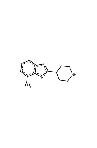 Cc1cccc2oc(C3CCNCC3)nc12